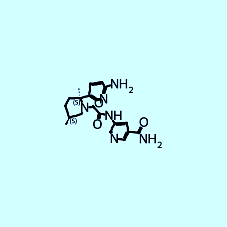 C[C@H]1CC[C@@](C)(c2ccc(N)nc2)N(C(=O)C(=O)Nc2cncc(C(N)=O)c2)C1